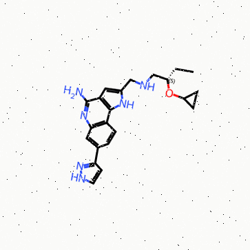 CC[C@@H](CNCc1cc2c(N)nc3cc(-c4cc[nH]n4)ccc3c2[nH]1)OC1CC1